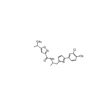 CC(=O)OC(C)c1cc(C(=O)NC(C)Cn2ccc(-c3ccc(C#N)c(Cl)c3)n2)no1